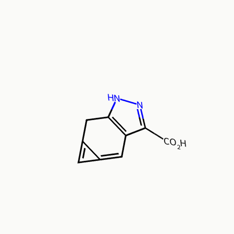 O=C(O)c1n[nH]c2c1C=C1C=C1C2